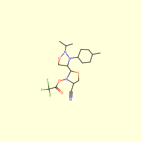 CC1CCC(N2C(C3SCC(C#N)N3OC(=O)C(F)(F)F)CON2C(C)C)CC1